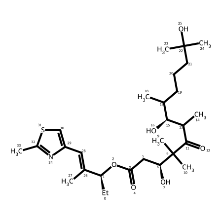 CC[C@H](OC(=O)C[C@H](O)C(C)(C)C(=O)C(C)[C@@H](O)C(C)CCCC(C)(C)O)/C(C)=C/c1csc(C)n1